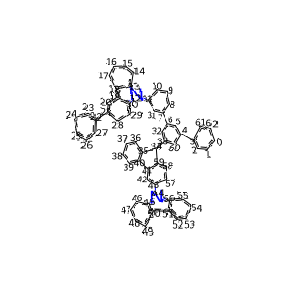 c1ccc(-c2cc(-c3cccc(-n4c5ccccc5c5cc(-c6ccccc6)ccc54)c3)cc(C3c4ccccc4-c4cc(-n5c6ccccc6c6ccccc65)ccc43)c2)cc1